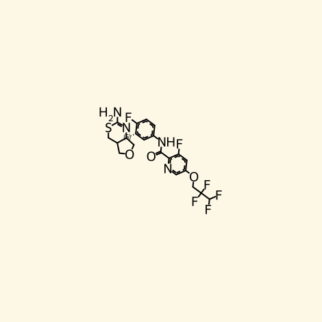 NC1=N[C@@]2(c3cc(NC(=O)c4ncc(OCC(F)(F)C(F)F)cc4F)ccc3F)COCC2CS1